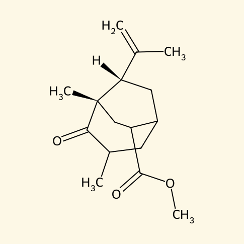 C=C(C)[C@@H]1CC2CC(C)C(=O)[C@@]1(C)CC2C(=O)OC